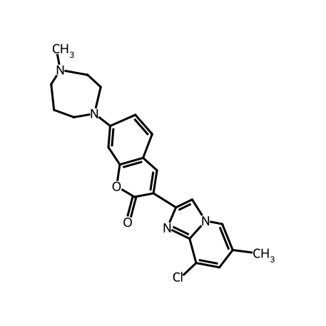 Cc1cc(Cl)c2nc(-c3cc4ccc(N5CCCN(C)CC5)cc4oc3=O)cn2c1